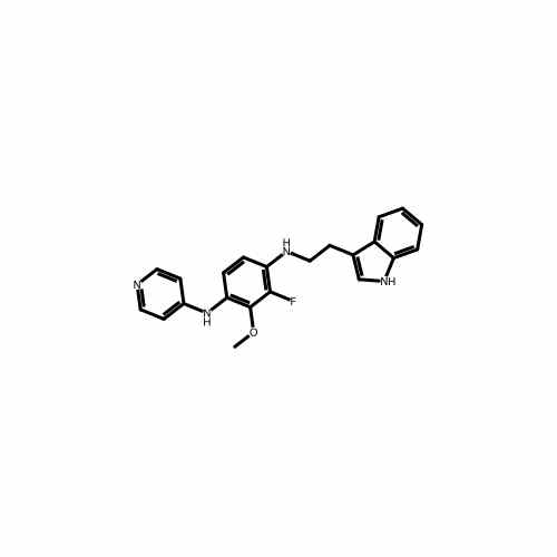 COc1c(Nc2ccncc2)ccc(NCCc2c[nH]c3ccccc23)c1F